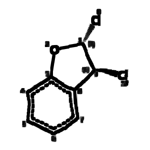 Cl[C@H]1Oc2ccccc2[C@@H]1Cl